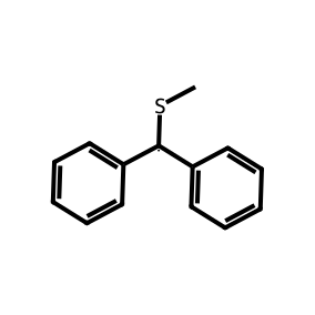 CS[C](c1ccccc1)c1ccccc1